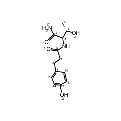 C[C@H](O)[C@@H](NC(=O)CCc1ccc(O)cc1)C(N)=O